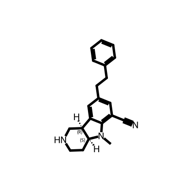 CN1c2c(C#N)cc(CCc3ccccc3)cc2[C@@H]2CNCC[C@@H]21